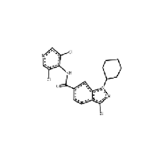 CCc1nn(C2CCCCC2)c2cc(C(=O)Nc3c(Cl)cncc3Cl)ccc12